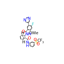 COc1cc(F)c(-c2cncnc2)cc1C(=O)N[C@H]1[C@@H](C(=O)Nc2cccc(S(=O)(=O)C(F)(F)F)c2)[C@@H]2C=C[C@H]1C2